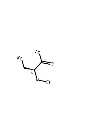 CC[N][C@@H](CC(C)C)C(=O)C(C)=O